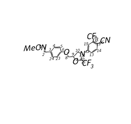 CO/N=C/c1ccc(OCC2CN(c3ccc(C#N)c(C(F)(F)F)c3)C(C(F)(F)F)O2)cc1